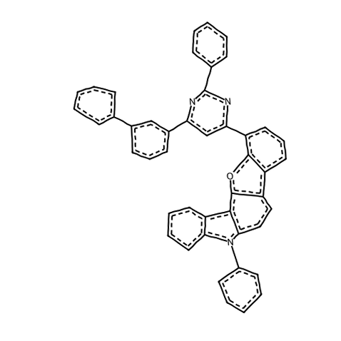 c1ccc(-c2cccc(-c3cc(-c4cccc5c4oc4c5ccc5c4c4ccccc4n5-c4ccccc4)nc(-c4ccccc4)n3)c2)cc1